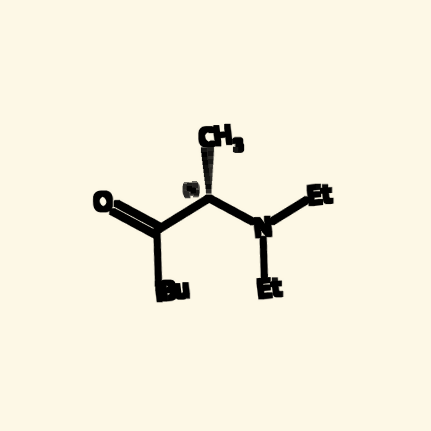 CCC(C)C(=O)[C@H](C)N(CC)CC